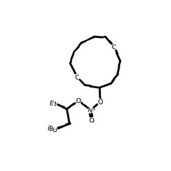 CCC(C)CC(CC)O[N+](=O)OC1CCCCCCCCCCC1